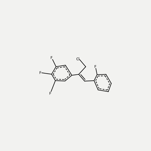 Fc1ccccc1C=C(CCl)c1cc(F)c(F)c(F)c1